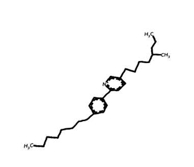 CCCCCCCCc1ccc(-c2ccc(CCCCC(C)CCC)cn2)cc1